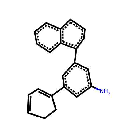 Nc1cc(C2=CC=CCC2)cc(-c2cccc3ccccc23)c1